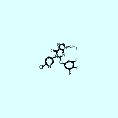 Cn1cnc2c(=O)n(-c3ccc(Cl)nc3)c(Oc3cc(F)c(F)c(F)c3)nc21